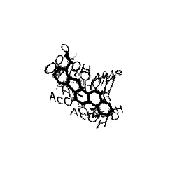 CO[C@H]1C(=O)[C@H]2C[C@@H]3O[C@@H]3[C@H](OC(C)=O)[C@]2(C)C2C1[C@@H]1[C@@H](OC(C)=O)[C@@H]3[C@H]([C@H](C)[C@H]4O[C@]45OC(=O)[C@@](C)(O)[C@]35C)[C@@]1(C)[C@@H](OC(C)=O)[C@H]2OC(C)=O